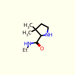 CCNC(=O)C1NCCC1(C)C